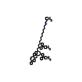 CC/C=C/CCCCCCCCCCCC(CC1CC(OC(C)=O)CC2(CC3OC(=O)C=CC3O2)O1)OC(C)=O